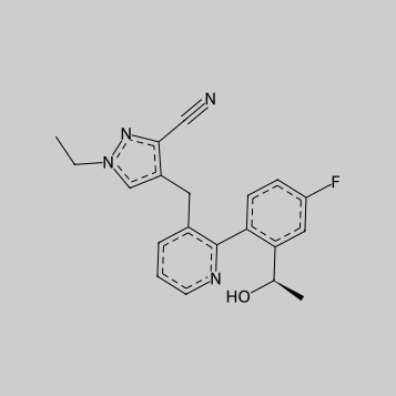 CCn1cc(Cc2cccnc2-c2ccc(F)cc2[C@@H](C)O)c(C#N)n1